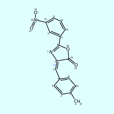 Cc1ccc(/C=C2/N=C(c3cccc([N+](=O)[O-])c3)OC2=O)cc1